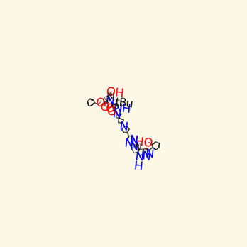 C[C@@H]1c2c([nH]c3nnc(-c4ccccc4O)cc23)CCN1c1ncc(C2CCN(C3CC4(C3)CN(C(=O)N[C@H](C(=O)N3C[C@H](O)C[C@H]3C(=O)OCc3ccccc3)C(C)(C)C)C4)CC2)cn1